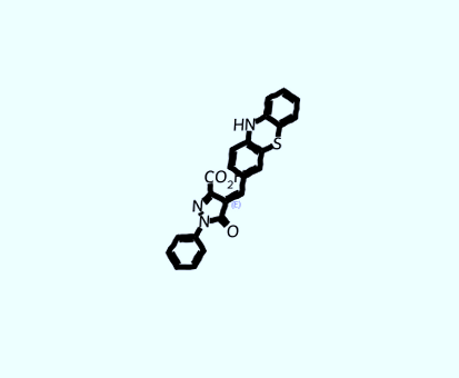 O=C(O)C1=NN(c2ccccc2)C(=O)/C1=C/c1ccc2c(c1)Sc1ccccc1N2